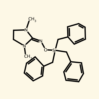 CN1CCN(C)C1=NO[Si](Cc1ccccc1)(Cc1ccccc1)Cc1ccccc1